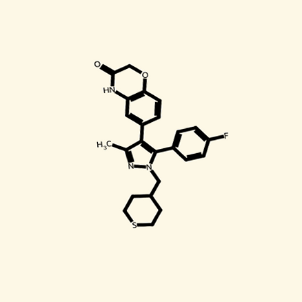 Cc1nn(CC2CCSCC2)c(-c2ccc(F)cc2)c1-c1ccc2c(c1)NC(=O)CO2